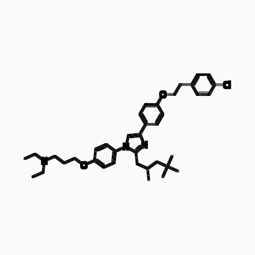 CCN(CC)CCCOc1ccc(-n2cc(-c3ccc(OCCc4ccc(Cl)cc4)cc3)nc2CC(C)CC(C)(C)C)cc1